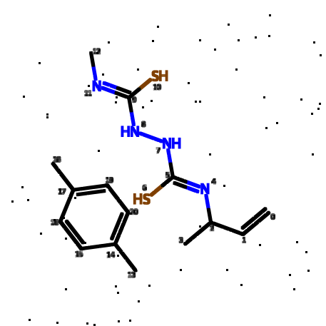 C=CC(C)N=C(S)NNC(S)=NC.Cc1ccc(C)cc1